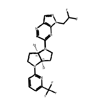 FC(F)Cn1ncc2ncc(N3CC[C@@H]4[C@H]3CCN4c3cccc(C(F)(F)F)n3)nc21